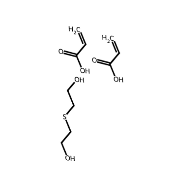 C=CC(=O)O.C=CC(=O)O.OCCSCCO